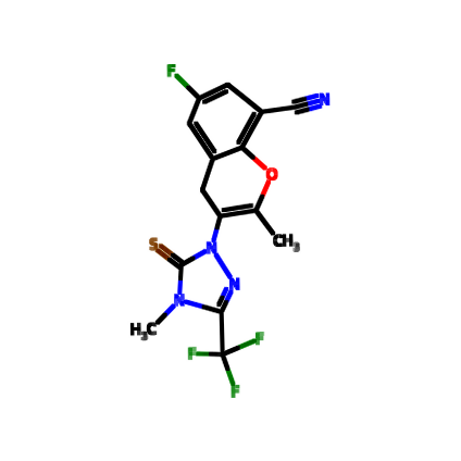 CC1=C(n2nc(C(F)(F)F)n(C)c2=S)Cc2cc(F)cc(C#N)c2O1